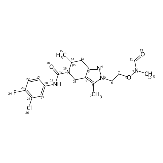 Cc1c2c(nn1CCON(C)C=O)C[C@@H](C)N(C(=O)Nc1ccc(F)c(Cl)c1)C2